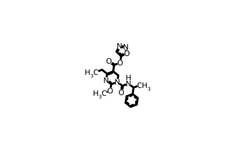 CCC1=C(C(=O)Oc2cnno2)CN(C(=O)NC(C)c2ccccc2)C(OC)=N1